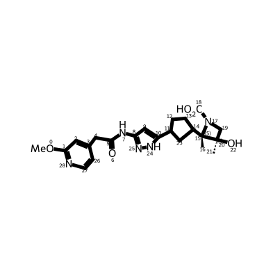 COc1cc(CC(=O)Nc2cc(C3CCC([C@]4(C)N(C(=O)O)C[C@@]4(C)O)C3)[nH]n2)ccn1